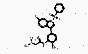 CC(C)(C)N(CC(=O)Nc1cc(-c2cn(S(=O)(=O)c3ccccc3)c3cc(F)ccc23)ccc1N)C(=O)O